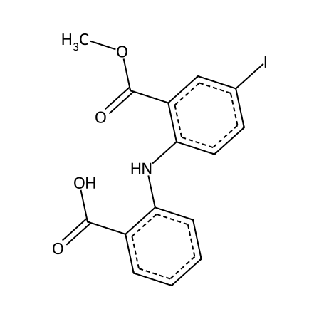 COC(=O)c1cc(I)ccc1Nc1ccccc1C(=O)O